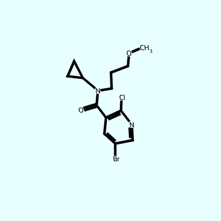 COCCCN(C(=O)c1cc(Br)cnc1Cl)C1CC1